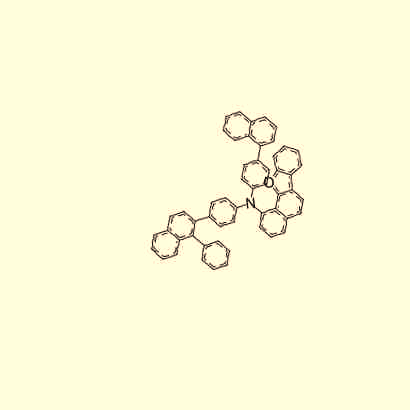 c1ccc(-c2c(-c3ccc(N(c4ccc(-c5cccc6ccccc56)cc4)c4cccc5ccc6c7ccccc7oc6c45)cc3)ccc3ccccc23)cc1